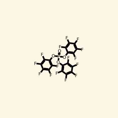 O=P(Oc1c(F)c(F)c(F)c(F)c1F)(Oc1c(F)c(F)c(F)c(F)c1F)Oc1c(F)c(F)c(F)c(F)c1F